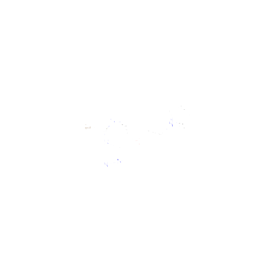 Brc1ncc(OCCn2cccc2)c2nncn12